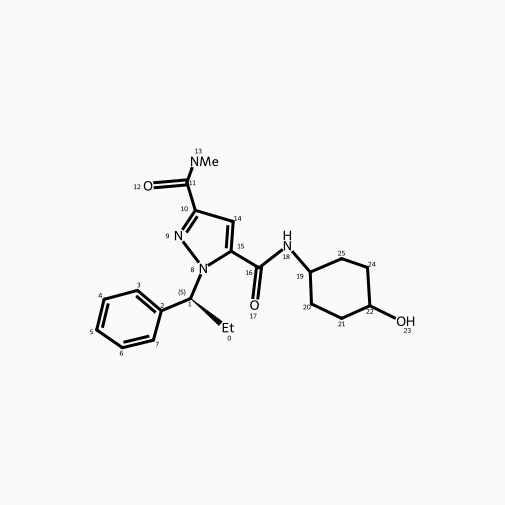 CC[C@@H](c1ccccc1)n1nc(C(=O)NC)cc1C(=O)NC1CCC(O)CC1